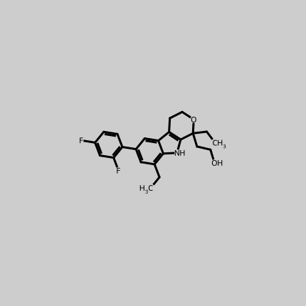 CCc1cc(-c2ccc(F)cc2F)cc2c3c([nH]c12)C(CC)(CCO)OCC3